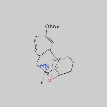 COc1ccc2c(c1)[C@@]13CCCC4O[C@@]41[C@@H](C2)NCC3